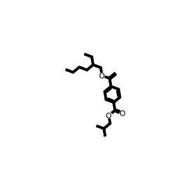 C=C(OCC(CC)CCCC)c1ccc(C(=O)OCC(C)C)cc1